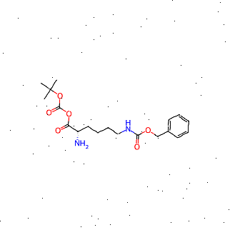 CC(C)(C)OC(=O)OC(=O)[C@@H](N)CCCCNC(=O)OCc1ccccc1